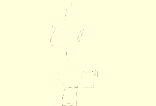 Clc1ccc(C2CC3C=CC34CNC24)cn1